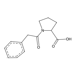 O=C(O)C1CCCN1C(=O)Cc1cc[c]cc1